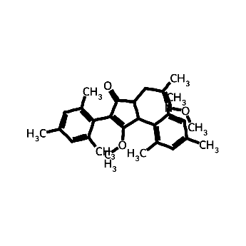 CON=C(C)CC1C(=O)C(c2c(C)cc(C)cc2C)=C(OC)C1c1c(C)cc(C)cc1C